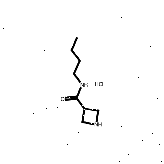 CCCCNC(=O)C1CNC1.Cl